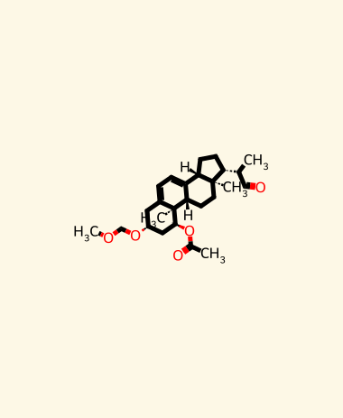 COCO[C@@H]1CC2=CC=C3[C@@H]4CC[C@H](C(C)C=O)[C@@]4(C)CC[C@@H]3[C@@]2(C)[C@@H](OC(C)=O)C1